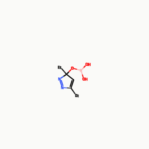 CCC1=CC(CC)(OB(O)O)N=N1